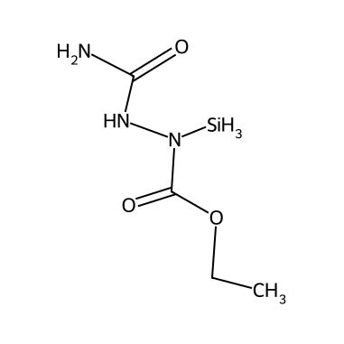 CCOC(=O)N([SiH3])NC(N)=O